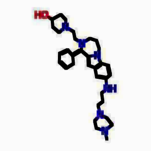 CN1CCN(CCCNc2ccc3c(c2)cc2n3CCCN(CCN3CCC(O)CC3)/C2=C2\C=CC=CC2)CC1